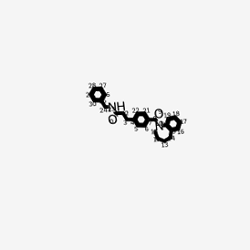 O=C(CCc1ccc(C(=O)N2CCCCc3ccccc32)cc1)NCc1ccccc1